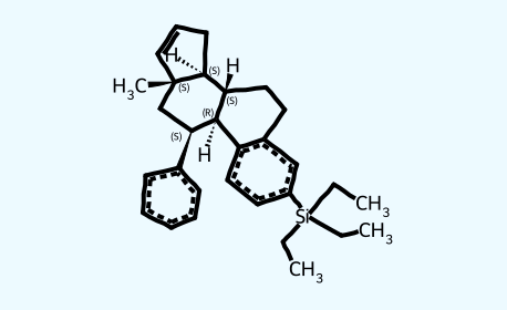 CC[Si](CC)(CC)c1ccc2c(c1)CC[C@@H]1[C@@H]2[C@@H](c2ccccc2)C[C@]2(C)C=CC[C@@H]12